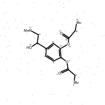 CCC(C)CC(=O)Oc1ccc(C(O)CNC)cc1OC(=O)CC(C)CC